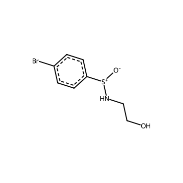 [O-][S+](NCCO)c1ccc(Br)cc1